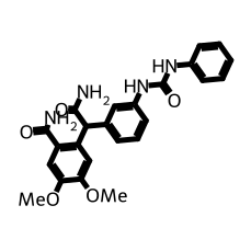 COc1cc(C(N)=O)c(C(C(N)=O)c2cccc(NC(=O)Nc3ccccc3)c2)cc1OC